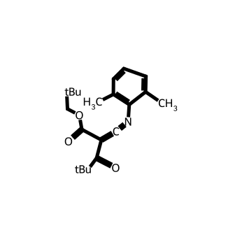 Cc1cccc(C)c1N=C=C(C(=O)OCC(C)(C)C)C(=O)C(C)(C)C